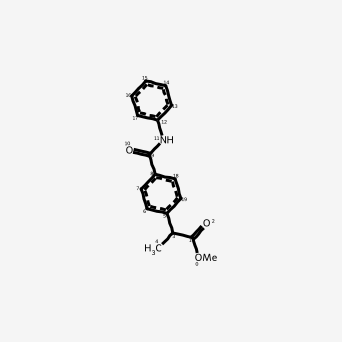 COC(=O)C(C)c1ccc(C(=O)Nc2ccccc2)cc1